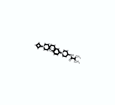 CC(C)C(=O)NC1CCN(c2ccc3c(c2)CCC2(CCN(C4CCC4)CC2)O3)CC1